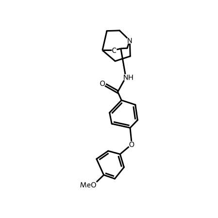 COc1ccc(Oc2ccc(C(=O)NC3CC4CCN(CC4)C3)cc2)cc1